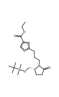 CCOC(=O)c1csc(SCCN2C(=O)CC[C@@H]2CO[Si](C)(C)C(C)(C)C)n1